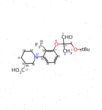 CC(C)(C)OCC(C)(C=O)Oc1cccc(N2CCC[C@@H](C(=O)O)C2)c1C(F)(F)F